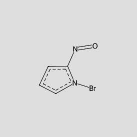 O=Nc1cccn1Br